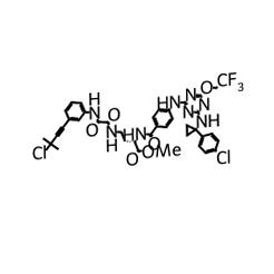 COC(=O)[C@H](CCNC(=O)C(=O)Nc1cccc(C#CC(C)(C)Cl)c1)NC(=O)c1ccc(Nc2nc(NC3(c4ccc(Cl)cc4)CC3)nc(OCC(F)(F)F)n2)cc1